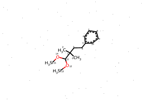 CC(C)(CCc1ccccc1)C(O[SiH3])O[SiH3]